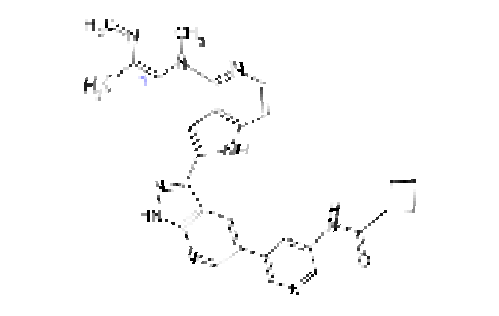 C=N/C(C)=C\N(C)c1nccc2[nH]c(-c3n[nH]c4ncc(-c5cncc(NC(=O)C6CCC6)c5)cc34)cc12